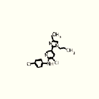 CCCn1cc(CC)nc1-c1cnc(Nc2ccc(Cl)cc2)c(Cl)c1